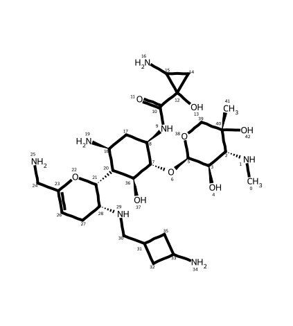 CN[C@@H]1[C@@H](O)[C@@H](O[C@H]2[C@H](NC(=O)C3(O)CC3N)C[C@H](N)C([C@H]3OC(CN)=CC[C@H]3NCC3CC(N)C3)[C@@H]2O)OC[C@]1(C)O